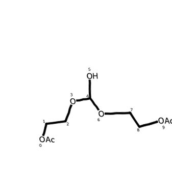 CC(=O)OCCOC(O)OCCOC(C)=O